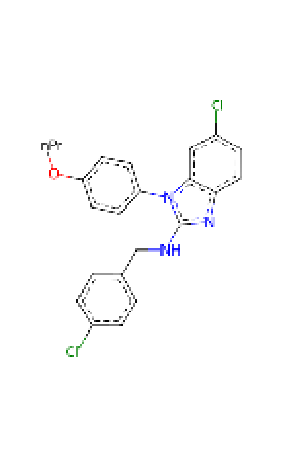 CCCOc1ccc(-n2c(NCc3ccc(Cl)cc3)nc3ccc(Cl)cc32)cc1